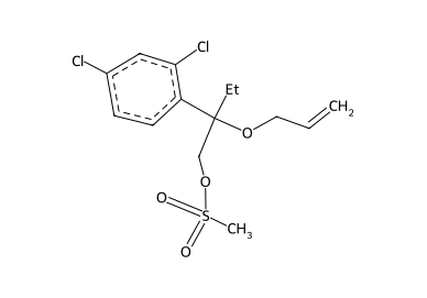 C=CCOC(CC)(COS(C)(=O)=O)c1ccc(Cl)cc1Cl